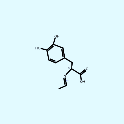 C/C=N/[C@@H](Cc1ccc(O)c(O)c1)C(=O)O